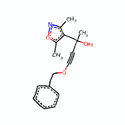 Cc1noc(C)c1C(C)(O)C#COCc1ccccc1